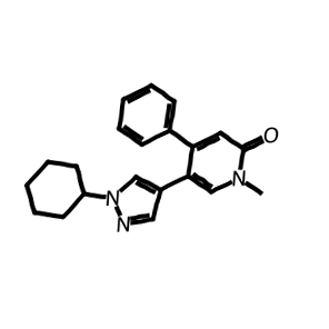 Cn1cc(-c2cnn(C3CCCCC3)c2)c(-c2ccccc2)cc1=O